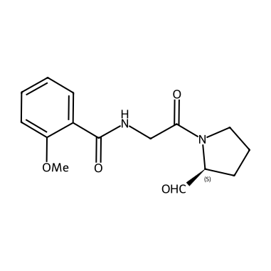 COc1ccccc1C(=O)NCC(=O)N1CCC[C@H]1C=O